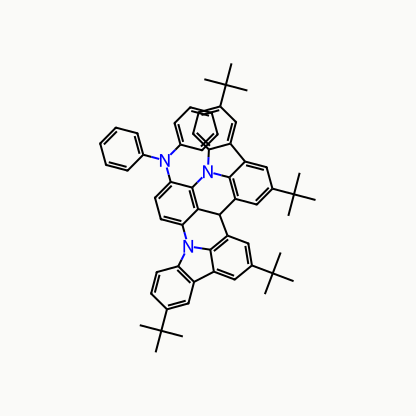 CC(C)(C)c1ccc2c(c1)c1cc(C(C)(C)C)cc3c1n2-c1ccc(N(c2ccccc2)c2ccccc2)c2c1C3c1cc(C(C)(C)C)cc3c4cc(C(C)(C)C)ccc4n-2c13